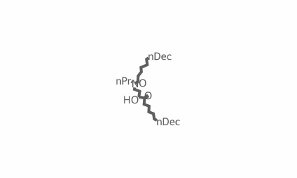 CCCCCCCCCCCCCCCC(=O)C(O)CCN(CCC)C(=O)CCCCCCCCCCCCCCC